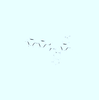 COc1cc(C(O)C(CN2CCCC2)NC(=O)C(=O)c2ccc(-c3ccc(F)cc3)cc2)cc(F)c1OC(C)C